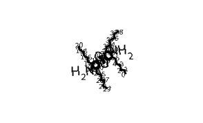 CCCCCCc1cc(S(=O)(=O)c2cc(CCCCCC)c(N)c(CCCCCC)c2)cc(CCCCCC)c1N